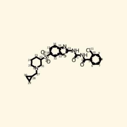 O=C(NC(=O)c1ccccc1Cl)Nc1nc2ccc(S(=O)(=O)C3CCCN(CC4CC4)C3)cc2s1